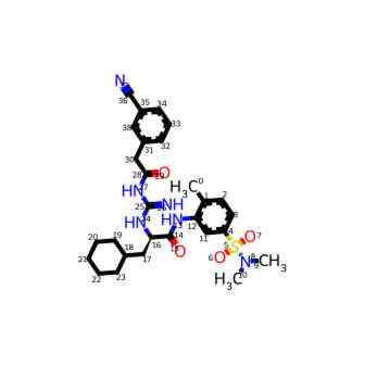 Cc1ccc(S(=O)(=O)N(C)C)cc1NC(=O)[C@@H](CC1CCCCC1)NC(=N)NC(=O)Cc1cccc(C#N)c1